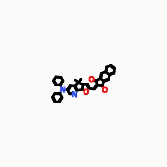 CC1(C)c2cc(N(c3ccccc3)c3ccccc3)cnc2-c2oc(C=C3C(=O)c4cc5ccccc5cc4C3=O)cc21